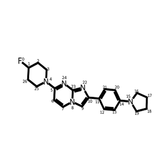 FC1CCN(c2ccn3cc(-c4ccc(N5CCCC5)cc4)nc3n2)CC1